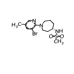 Cc1cnc(N2CCC[C@H](NS(C)(=O)=O)CC2)c(Br)c1